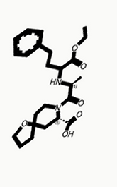 CCOC(=O)C(CCc1ccccc1)N[C@@H](C)C(=O)N1CCC2(CCCO2)C[C@H]1C(=O)O